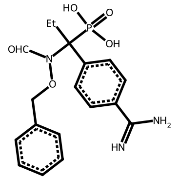 CCC(c1ccc(C(=N)N)cc1)(N(C=O)OCc1ccccc1)P(=O)(O)O